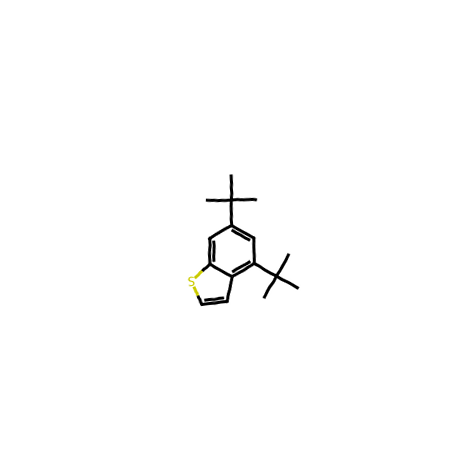 CC(C)(C)c1cc(C(C)(C)C)c2ccsc2c1